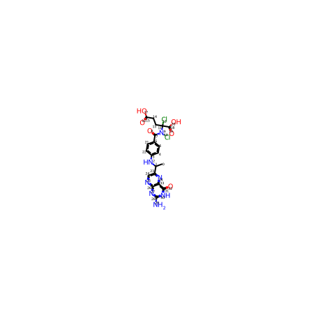 CC(Nc1ccc(C(=O)N(Cl)C(Cl)(CCC(=O)O)C(=O)O)cc1)c1cnc2nc(N)[nH]c(=O)c2n1